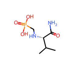 CC(C)[C@H](NCP(=O)(O)O)C(N)=O